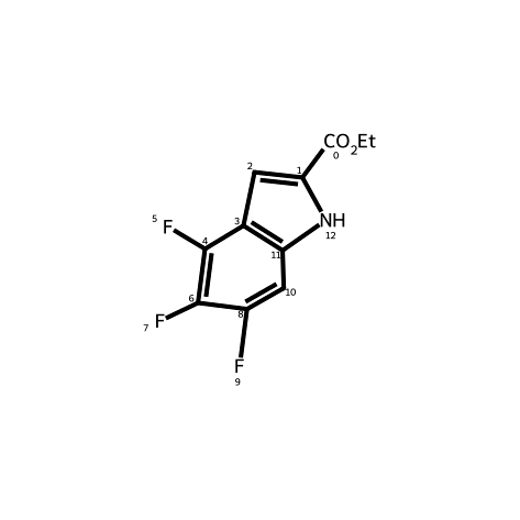 CCOC(=O)c1cc2c(F)c(F)c(F)cc2[nH]1